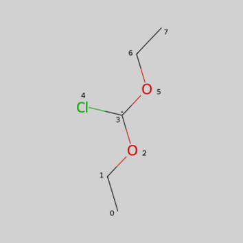 CCO[C](Cl)OCC